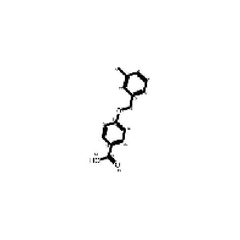 Cc1cccc(COc2ccc(C(=O)O)cc2)c1